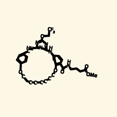 COC(=O)CCCNC(=O)c1ccc2cc1OCCCCCCCCOc1ccc(cc1)CNc1nc(nc(OCC(F)(F)F)n1)N2